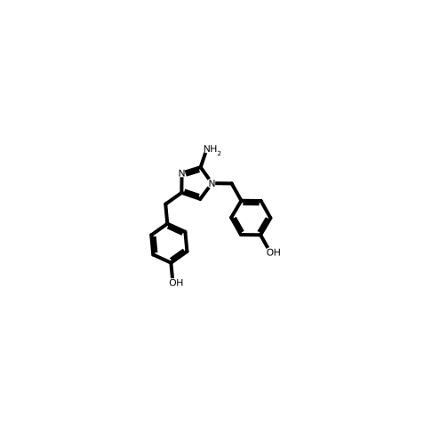 Nc1nc(Cc2ccc(O)cc2)cn1Cc1ccc(O)cc1